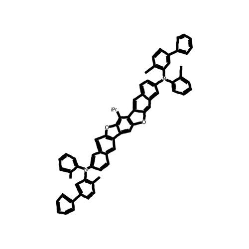 Cc1ccccc1N(c1ccc2cc3c(cc2c1)oc1c(C(C)C)c2c(cc13)oc1cc3cc(N(c4ccccc4C)c4cc(-c5ccccc5)ccc4C)ccc3cc12)c1cc(-c2ccccc2)ccc1C